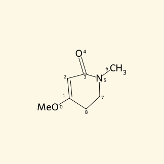 COC1=CC(=O)N(C)CC1